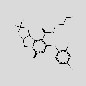 CC1(C)OC2Cn3c(c(C(=O)NOCCO)c(Nc4ccc(Br)cc4F)cc3=O)C2O1